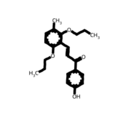 CCCOc1ccc(C)c(OCCC)c1C=CC(=O)c1ccc(O)cc1